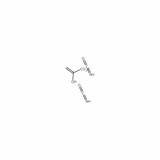 C=C(O)C(=O)O.N=C=O.N=C=O